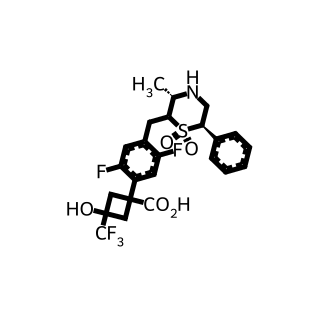 C[C@@H]1NC[C@@H](c2ccccc2)S(=O)(=O)C1Cc1cc(F)c(C2(C(=O)O)CC(O)(C(F)(F)F)C2)cc1F